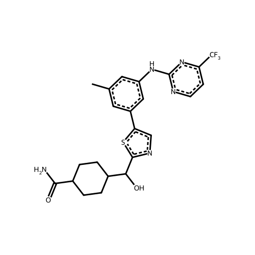 Cc1cc(Nc2nccc(C(F)(F)F)n2)cc(-c2cnc(C(O)C3CCC(C(N)=O)CC3)s2)c1